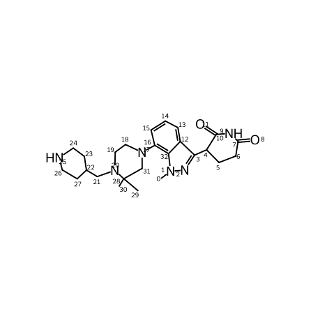 Cn1nc(C2CCC(=O)NC2=O)c2cccc(N3CCN(CC4CCNCC4)C(C)(C)C3)c21